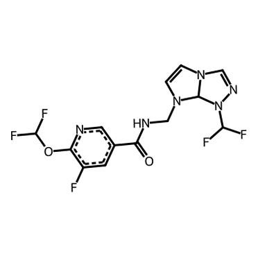 O=C(NCN1C=CN2C=NN(C(F)F)C21)c1cnc(OC(F)F)c(F)c1